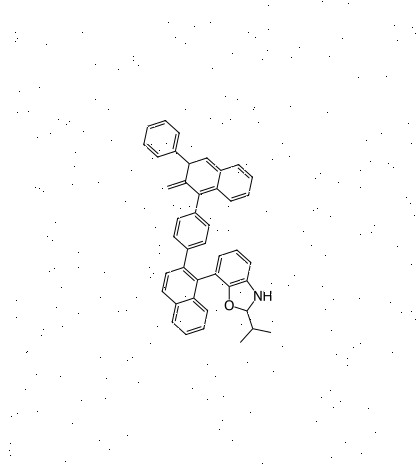 C=C1C(c2ccc(-c3ccc4ccccc4c3-c3cccc4c3OC(C(C)C)N4)cc2)=c2ccccc2=CC1c1ccccc1